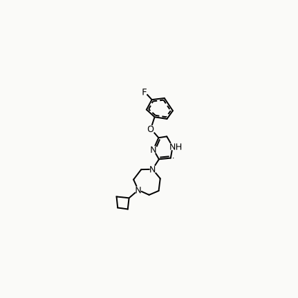 Fc1cccc(OC2=NC(N3CCCN(C4CCC4)CC3)=[C]NC2)c1